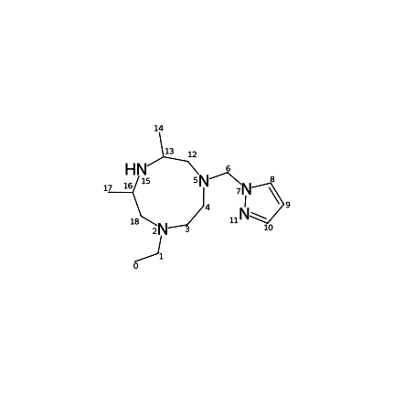 CCN1CCN(Cn2cccn2)CC(C)NC(C)C1